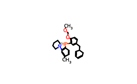 COCOc1ccc(CC2C=CC=CC2)cc1Pc1ccc(C)cc1N1CCCCC1